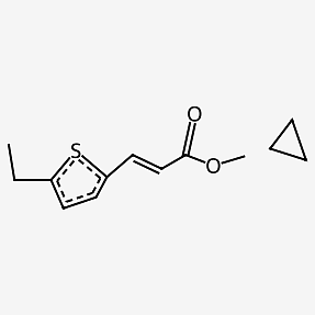 C1CC1.CCc1ccc(C=CC(=O)OC)s1